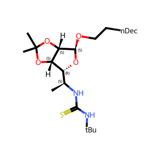 CCCCCCCCCCCCO[C@H]1O[C@H]([C@H](C)NC(=S)NC(C)(C)C)[C@@H]2OC(C)(C)O[C@H]12